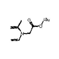 C=CN(CC(=O)OC(C)(C)C)C(=C)C